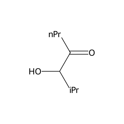 CCCC(=O)C(O)C(C)C